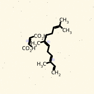 C=C/C(C)=C/C/C=C(\C)CCC=C(C)C.O=C(O)/C=C\C(=O)O